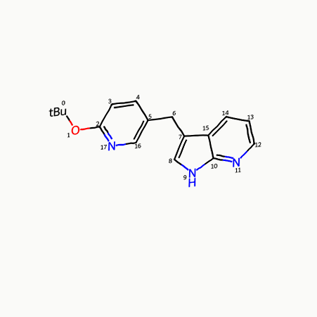 CC(C)(C)Oc1ccc(Cc2c[nH]c3ncccc23)cn1